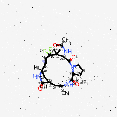 CC(C)[C@H]1CCN2C(=O)[C@@H](NC(=O)C(F)(F)F)C(C)(C)C(F)(F)/C=C/[C@@H]3C[C@@H](C[C@@H](C#N)NC(=O)[C@H]12)C(=O)N3